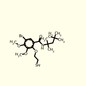 COc1c(Br)cc(C(=O)NC(C)(C)CC(C)(C)C)c(OCCS)c1OC